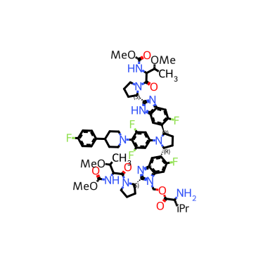 COC(=O)NC(C(=O)N1CCC[C@H]1c1nc2cc(F)c([C@H]3CC[C@H](c4cc5nc([C@@H]6CCCN6C(=O)C(NC(=O)OC)C(C)OC)n(COC(=O)C(N)C(C)C)c5cc4F)N3c3cc(F)c(N4CCC(c5ccc(F)cc5)CC4)c(F)c3)cc2[nH]1)C(C)OC